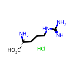 Cl.N=C(N)NCCC[C@@H](N)C(=O)O